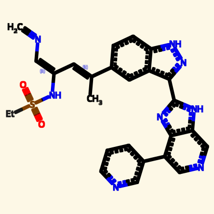 C=N/C=C(\C=C(/C)c1ccc2[nH]nc(-c3nc4c(-c5cccnc5)cncc4[nH]3)c2c1)NS(=O)(=O)CC